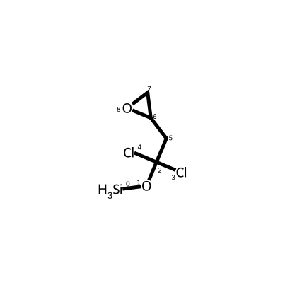 [SiH3]OC(Cl)(Cl)CC1CO1